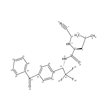 CC(C)C[C@H](NCC#N)C(=O)N[C@@H](c1ccc(C(=O)c2ccccc2)cc1)C(F)(F)F